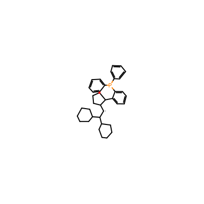 [CH](C1CCCC1c1ccccc1P(c1ccccc1)c1ccccc1)C(C1CCCCC1)C1CCCCC1